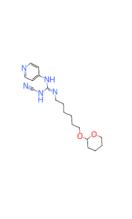 N#CNC(=NCCCCCCOC1CCCCO1)Nc1ccncc1